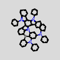 c1ccc(N(c2ccccc2)c2cc3c4c(c2)-n2c5c(cccc5c5c6c(c7ccccc7n6-c6ccccc6)c6c(c7ccccc7n6-c6ccccc6)c52)B4c2ccccc2N3c2ccccc2)cc1